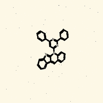 c1ccc(-c2cc(-n3c4nc5ccccc5c-4cc4ccccc43)nc(-c3ccccc3)n2)cc1